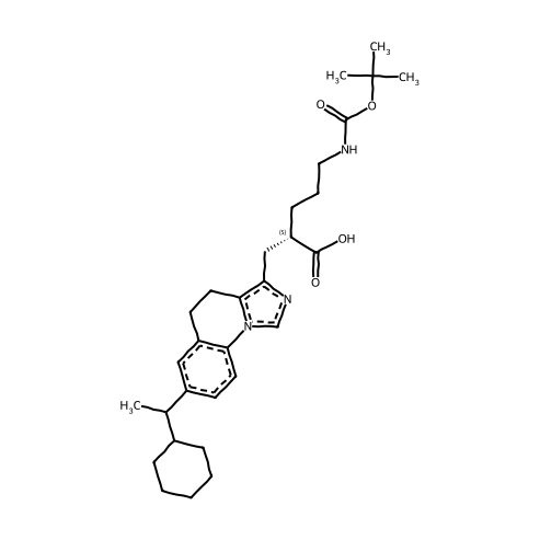 CC(c1ccc2c(c1)CCc1c(C[C@H](CCCNC(=O)OC(C)(C)C)C(=O)O)ncn1-2)C1CCCCC1